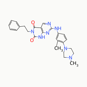 Cc1cc(Nc2ncc3c(=O)n(CCc4ccccc4)c(=O)[nH]c3n2)ccc1N1CCN(C)CC1